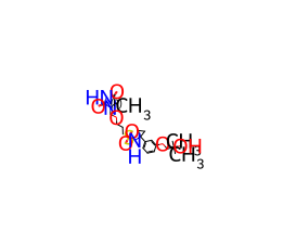 C[C@@H]1C(=O)NC(=O)N1COCCCS(=O)(=O)NC1(c2cccc(OCC(C)(C)O)c2)CC1